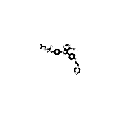 CC(C)CNC(=O)Nc1ccc(-n2nc(-c3ccc(OCCN4CCOCC4)cc3)c3c(N)ncnc32)cc1